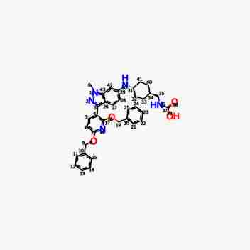 Cn1nc(-c2ccc(OCc3ccccc3)nc2OCc2ccccc2)c2ccc(N[C@H]3CC[C@H](CNC(=O)O)CC3)cc21